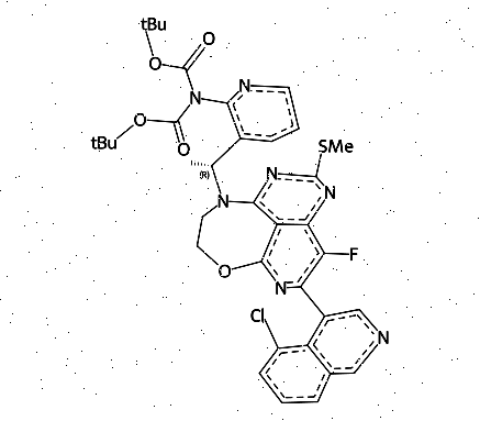 CSc1nc2c3c(nc(-c4cncc5cccc(Cl)c45)c(F)c3n1)OCCN2[C@H](C)c1cccnc1N(C(=O)OC(C)(C)C)C(=O)OC(C)(C)C